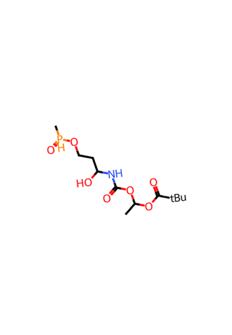 CC(OC(=O)NC(O)CCO[PH](C)=O)OC(=O)C(C)(C)C